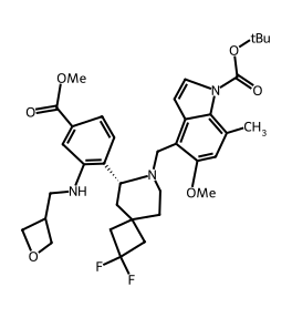 COC(=O)c1ccc([C@H]2CC3(CCN2Cc2c(OC)cc(C)c4c2ccn4C(=O)OC(C)(C)C)CC(F)(F)C3)c(NCC2COC2)c1